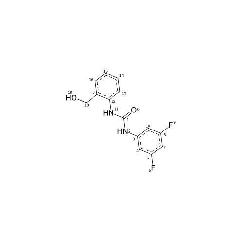 O=C(Nc1cc(F)cc(F)c1)Nc1ccccc1CO